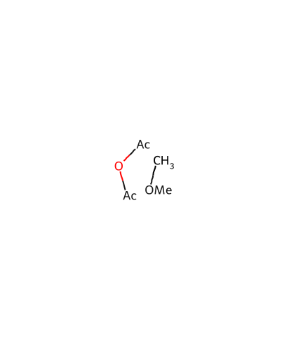 CC(=O)OC(C)=O.COC